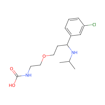 CC(C)NC(CCOCCNC(=O)O)c1cccc(Cl)c1